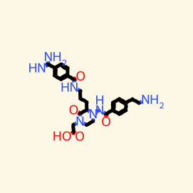 N=C(N)c1ccc(C(=O)NCCCC2C(=O)N(CC(=O)O)CCN2NC(=O)c2ccc(CCN)cc2)cc1